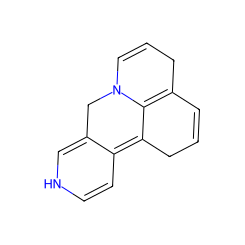 C1=CN2CC3=CNC=CC3=C3CC=CC(=C32)C1